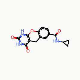 O=C(NC1CC1)c1ccc2c(c1)Cc1c([nH]c(=O)[nH]c1=O)O2